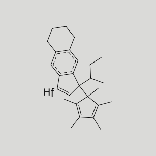 CCC(C)C1(C2(C)C(C)=C(C)C(C)=C2C)C=Cc2cc3c(cc21)CCCC3.[Hf]